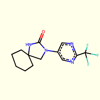 O=C1NC2(CCCCC2)CN1c1cnc(C(F)(F)F)nc1